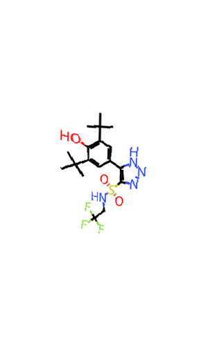 CC(C)(C)c1cc(-c2[nH]nnc2S(=O)(=O)NCC(F)(F)F)cc(C(C)(C)C)c1O